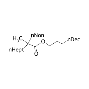 CCCCCCCCCCCCCOC(=O)C(C)(CCCCCCC)CCCCCCCCC